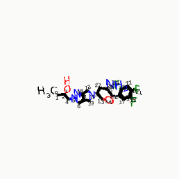 CC[C@H](O)Cn1cc2c(n1)CN([C@H]1CO[C@H](c3cc(F)c(F)cc3F)[C@@H](N)C1)C2